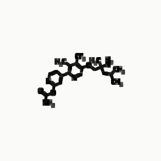 CC(C)=CC(C)(N)COc1cnc(-c2ccnc(OC(N)=O)c2)c(C)c1C(F)(F)F